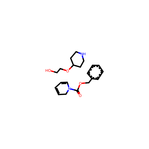 O=C(OCc1ccccc1)N1C=CC=CC1.OCCOC1CCNCC1